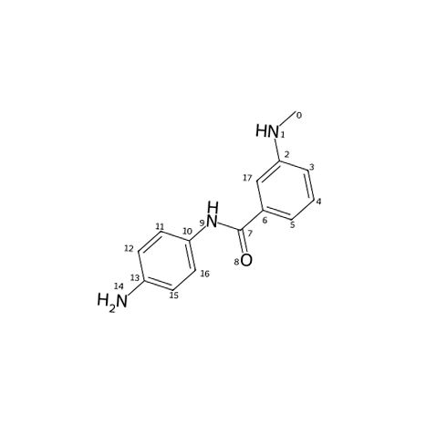 CNc1cccc(C(=O)Nc2ccc(N)cc2)c1